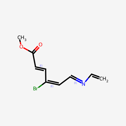 C=C/N=C/C=C(Br)\C=C\C(=O)OC